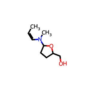 C/C=C\N(C)C1CCC(CO)O1